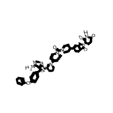 Nc1ncnc2c1c(-c1ccc(Oc3ccccc3)cc1)nn2[C@@H]1CCCN(C2CCN(C(=O)N3CCC(c4ccc5c(c4)CN(C4CCC(=O)NC4=O)C5=O)CC3)CC2)C1